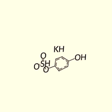 O=[SH](=O)Oc1ccc(O)cc1.[KH]